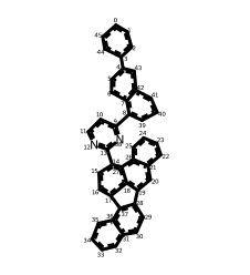 c1ccc(-c2ccc3c(-c4ccnc(-c5ccc6c7c(cc8ccccc8c57)-c5ccc7ccccc7c5-6)n4)cccc3c2)cc1